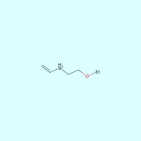 C=C[SiH2]CCOCC